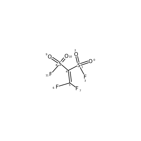 O=S(=O)(F)C(=C(F)F)S(=O)(=O)F